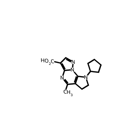 Cc1nc2c(C(=O)O)cnn2c2c1CCN2C1CCCC1